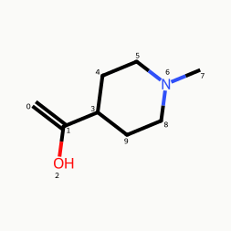 C=C(O)C1CCN(C)CC1